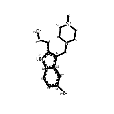 CN1CCN(Cc2c(CSBr)[nH]c3ccc(Br)cc23)CC1